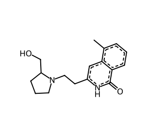 Cc1cccc2c(=O)[nH]c(CCN3CCCC3CO)cc12